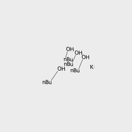 CCCCO.CCCCO.CCCCO.CCCCO.[K]